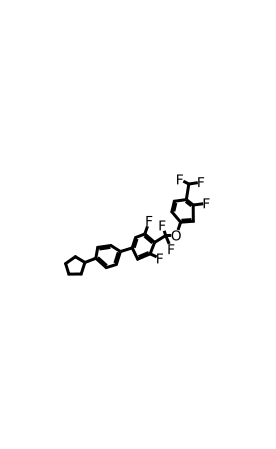 Fc1cc(OC(F)(F)c2c(F)cc(-c3ccc(C4CCCC4)cc3)cc2F)ccc1C(F)F